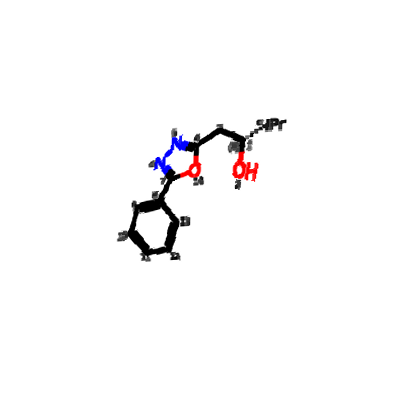 CC(C)[C@H](O)Cc1nnc(-c2ccccc2)o1